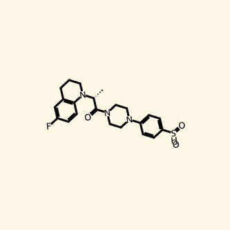 C[C@H](C(=O)N1CCN(c2ccc([SH](=O)=O)cc2)CC1)N1CCCc2cc(F)ccc21